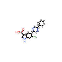 O=C(O)c1c[nH]c2cc(Cl)c(-c3cnc(-c4ccccc4)cn3)cc12